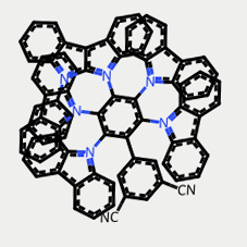 N#Cc1cc(C#N)cc(-c2c(-n3c4ccccc4c4ccccc43)c(-n3c4ccccc4c4ccccc43)c(-n3c4ccccc4c4c5ccccc5n(-c5ccccc5)c43)c(-n3c4ccccc4c4ccccc43)c2-n2c3ccccc3c3ccccc32)c1